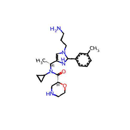 Cc1cccc(C2NC([C@@H](C)N(C(=O)[C@H]3CNCCO3)C3CC3)=CN2CCCN)c1